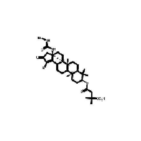 CC(C)C1=C2C3CCC4[C@@]5(C)CC[C@H](OC(=O)CC(C)(C)C(=O)O)C(C)(C)C5CC[C@@]4(C)[C@]3(C)CC[C@@]2(NC(=O)NC(C)(C)C)CC1=O